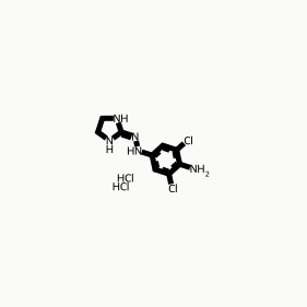 Cl.Cl.Nc1c(Cl)cc(NN=C2NCCN2)cc1Cl